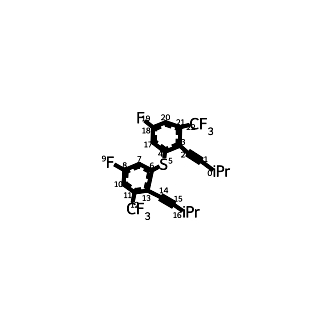 CC(C)C#Cc1c(Sc2cc(F)cc(C(F)(F)F)c2C#CC(C)C)cc(F)cc1C(F)(F)F